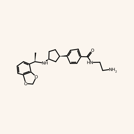 C[C@@H](N[C@H]1CC[C@@H](c2ccc(C(=O)NCCN)cc2)C1)c1cccc2c1OCO2